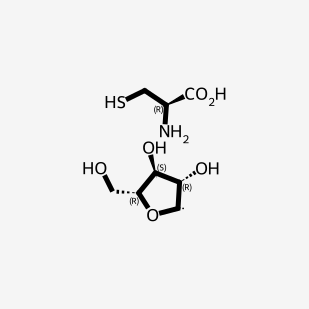 N[C@@H](CS)C(=O)O.OC[C@H]1O[CH][C@@H](O)[C@@H]1O